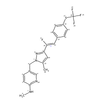 CNc1ccc(Cn2nc(/C(F)=C/c3ccc(SC(F)(F)F)cc3)cc2C)cn1